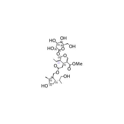 C/C=C1\[C@H](O[C@@H]2O[C@H](CO)[C@@H](O)[C@H](O)[C@H]2O)OC=C(C(=O)OC)[C@H]1CC(=O)OC[C@@H]1[C@H](C)[C@@H](O)C[C@H]1C(C)CO